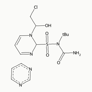 CC(C)(C)N(C(N)=O)S(=O)(=O)C1N=CC=CN1C(O)CCl.c1cncnc1